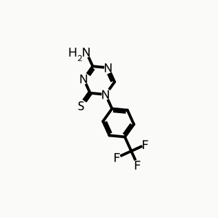 Nc1ncn(-c2ccc(C(F)(F)F)cc2)c(=S)n1